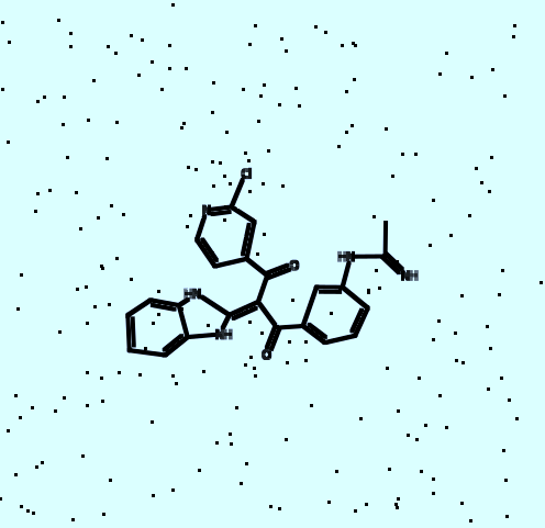 CC(=N)Nc1cccc(C(=O)C(C(=O)c2ccnc(Cl)c2)=C2Nc3ccccc3N2)c1